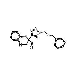 O=CC1(c2nnn(COCc3ccccc3)n2)C=c2ccccc2=NC1